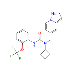 O=C(Nc1ccccc1OC(F)(F)F)N(Cc1ccn2nccc2c1)C1CCC1